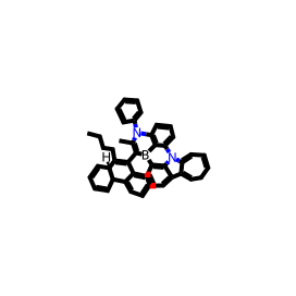 CCCCC1=C(C2=C(C)N(c3ccccc3)c3cccc4c3B2c2cccc3c5c(n-4c23)=CC=CCC=5)c2ccccc2C2C=CC=C[C@H]12